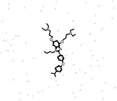 CCCCn1c(-c2ccc(Oc3ccc(C(C)C)cc3)cc2)nc2c(OCCCN(CC)CC)cc(OCCCN(CC)CC)cc21